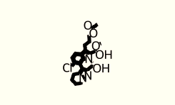 COC(O)c1c(CCCOC(C)=O)c2ccc(Cl)c(-c3c(CO)nn4c3CCCC4)c2n1C